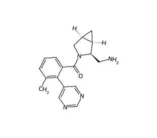 Cc1cccc(C(=O)N2C[C@H]3C[C@H]3[C@H]2CN)c1-c1cncnc1